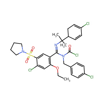 CCOc1cc(Cl)c(S(=O)(=O)N2CCCC2)cc1/C(=N/C(C)(C)C1C=CC(Cl)=CC1)N(Cc1ccc(Cl)cc1)C(=O)Cl